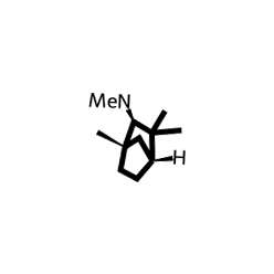 CN[C@H]1C(C)(C)[C@@H]2CC[C@@]1(C)C2